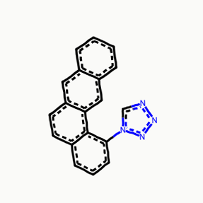 c1ccc2cc3c(ccc4cccc(-n5cnnn5)c43)cc2c1